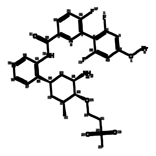 CC(C)Oc1cc(F)c(-c2nc(C(=O)Nc3cnccc3[C@H]3C[C@@H](N)[C@@H](OCCS(C)(=O)=O)[C@@H](C)C3)ccc2F)c(F)c1